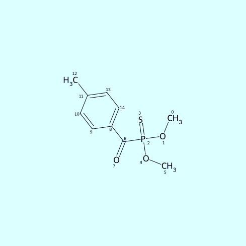 COP(=S)(OC)C(=O)c1ccc(C)cc1